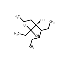 CCCC(CC)[C@@](O)(CCC)C(C)(C)CC